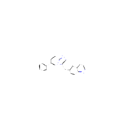 Fc1cc(-c2ccccc2)cn2c(Cc3ccc4ncccc4c3)cnc12